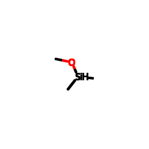 CO[SiH](C)C